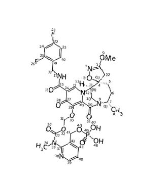 COC1=NO[C@@]2(CC[C@H](C)N3C[C@H]2n2cc(C(=O)NCc4ccc(F)cc4F)c(=O)c(OCOC(=O)N(C)c4ncccc4COP(=O)(O)O)c2C3=O)C1